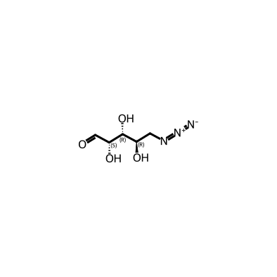 [N-]=[N+]=NC[C@@H](O)[C@@H](O)[C@H](O)C=O